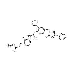 Cc1c(CCC(=O)OC(C)(C)C)cccc1NC(=O)Cc1ccc(Cn2nc(-c3ccccc3)oc2=O)cc1C1CCCC1